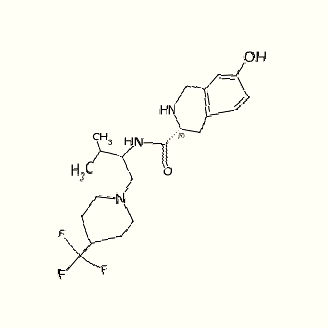 CC(C)C(CN1CCC(C(F)(F)F)CC1)NC(=O)[C@H]1Cc2ccc(O)cc2CN1